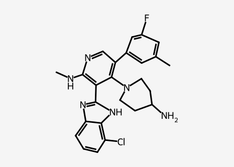 CNc1ncc(-c2cc(C)cc(F)c2)c(N2CCC(N)CC2)c1-c1nc2cccc(Cl)c2[nH]1